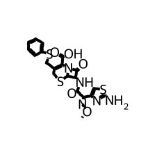 CO/N=C(/C(=O)N[C@@H]1C(=O)N2C(C(=O)O)=C(CSc3ccccc3)CSC12)c1csc(N)n1